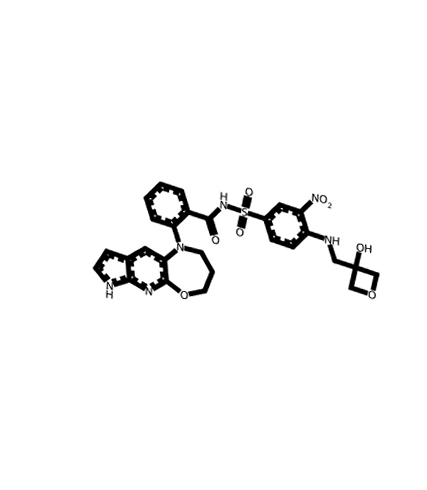 O=C(NS(=O)(=O)c1ccc(NCC2(O)COC2)c([N+](=O)[O-])c1)c1ccccc1N1CCCOc2nc3[nH]ccc3cc21